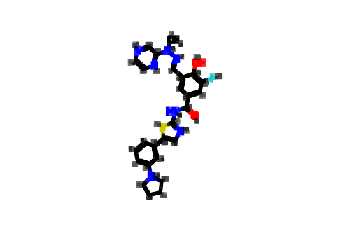 CN(/N=C/c1cc(C(=O)Nc2ncc(-c3cccc(N4CCCC4)c3)s2)cc(F)c1O)c1cnccn1